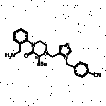 CCCC[C@H]1C(=O)N(c2ccccc2CN)CCN1Cc1cncn1Cc1ccc(C#N)cc1